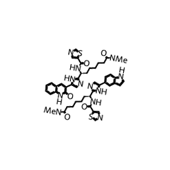 CNC(=O)CCCCC[C@H](NC(=O)c1cncs1)c1ncc(-c2cc3ccccc3[nH]c2=O)[nH]1.CNC(=O)CCCCC[C@H](NC(=O)c1cncs1)c1ncc(-c2ccc3[nH]ccc3c2)[nH]1